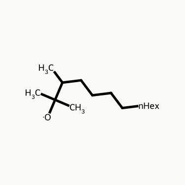 CCCCCCCCCCC(C)C(C)(C)[O]